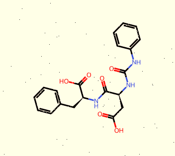 O=C(O)C[C@H](NC(=O)Nc1ccccc1)C(=O)N[C@@H](Cc1ccccc1)C(=O)O